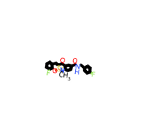 CN1c2ccc(C(=O)NCc3ccc(F)cc3)cc2C(=O)/C(=C/c2cccc(F)c2)[S+]1[O-]